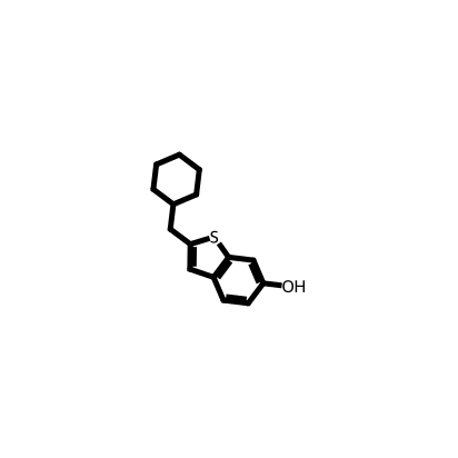 Oc1ccc2cc(CC3CCCCC3)sc2c1